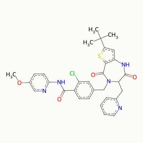 COc1ccc(NC(=O)c2ccc(CN3C(=O)c4sc(C(C)(C)C)cc4NC(=O)C3Cc3ccccn3)cc2Cl)nc1